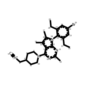 [C-]#[N+]CC1CCN(c2nc(C)nc3c2c(C)c(C)n3-c2c(CC)cc(Br)cc2CC)CC1